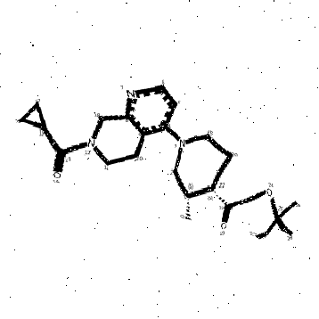 C[C@@H]1CN(c2ccnc3c2CCN(C(=O)C2CC2)C3)CC[C@@H]1C(=O)OC(C)(C)C